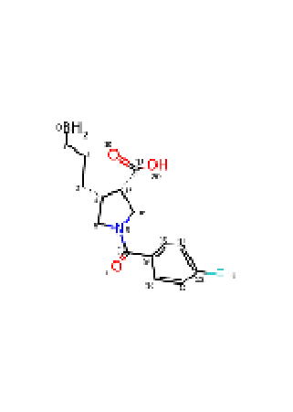 BCCC[C@H]1CN(C(=O)c2ccc(F)cc2)C[C@H]1C(=O)O